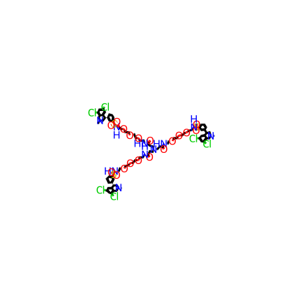 CN1Cc2c(Cl)cc(Cl)cc2C(c2cccc(S(=O)(=O)NCCOCCOCCOCCNC(=O)CCN(CCC(=O)NCCOCCOCCOCCNS(=O)(=O)c3cccc([C@@H]4CN(C)Cc5c(Cl)cc(Cl)cc54)c3)CCC(=O)NCCOCCOCCOCCNS(=O)(=O)c3cccc([C@@H]4CN(C)Cc5c(Cl)cc(Cl)cc54)c3)c2)C1